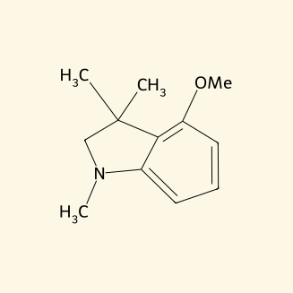 COc1cccc2c1C(C)(C)CN2C